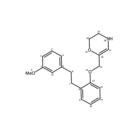 COc1cccc(CCc2ccccc2OCC2=CNCCO2)c1